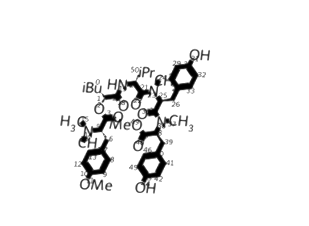 CC[C@@H](C)[C@@H](OC(=O)[C@H](Cc1ccc(OC)cc1)N(C)C)C(=O)N[C@@H](C(=O)N(C)[C@@H](Cc1ccc(O)cc1)C(=O)N(C)[C@@H](Cc1ccc(O)cc1)C(=O)OC)C(C)C